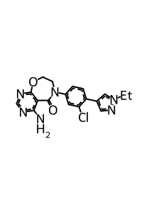 CCn1cc(-c2ccc(N3CCOc4ncnc(N)c4C3=O)cc2Cl)cn1